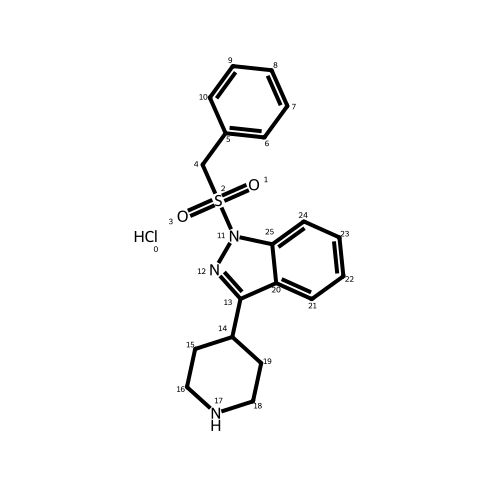 Cl.O=S(=O)(Cc1ccccc1)n1nc(C2CCNCC2)c2ccccc21